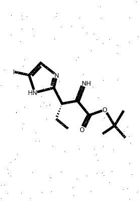 CC[C@@H](C(=N)C(=O)OC(C)(C)C)c1ncc(I)[nH]1